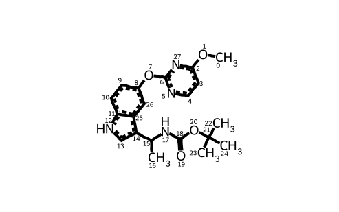 COc1ccnc(Oc2ccc3[nH]cc(C(C)NC(=O)OC(C)(C)C)c3c2)n1